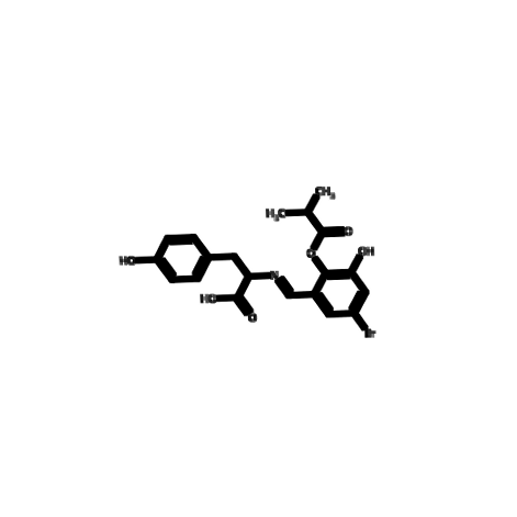 CC(C)C(=O)Oc1c(O)cc(Br)cc1C=NC(Cc1ccc(O)cc1)C(=O)O